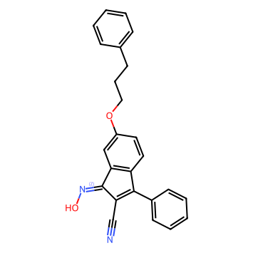 N#CC1=C(c2ccccc2)c2ccc(OCCCc3ccccc3)cc2/C1=N/O